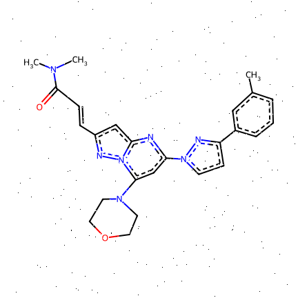 Cc1cccc(-c2ccn(-c3cc(N4CCOCC4)n4nc(C=CC(=O)N(C)C)cc4n3)n2)c1